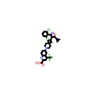 O=C(O)c1cc(C(F)(F)F)c2cc(N3CCC4(C=C(c5c(-c6c(Cl)cccc6Cl)noc5C5CC5)C4)CC3)ccc2n1